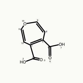 O=C(O)C1=C(C(=O)O)C=COC=C1